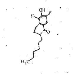 CCCCCCC1CCc2c(cc(F)c(O)c2F)C1=O